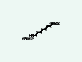 CCCCCCC=CCCCCCNCCCCC